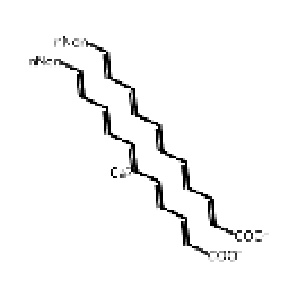 CCCCCCCCCC=CC=CC=CC=CC=CC(=O)[O-].CCCCCCCCCC=CC=CC=CC=CC=CC(=O)[O-].[Ca+2]